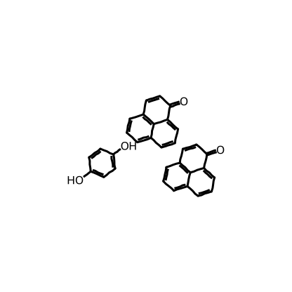 O=C1C=Cc2cccc3cccc1c23.O=C1C=Cc2cccc3cccc1c23.Oc1ccc(O)cc1